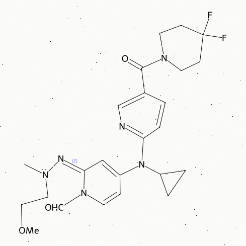 COCCN(C)/N=c1/cc(N(c2ccc(C(=O)N3CCC(F)(F)CC3)cn2)C2CC2)ccn1C=O